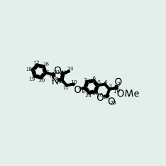 COC(=O)C1Cc2ccc(OCCc3nc(-c4ccccc4)oc3C)cc2OC1=O